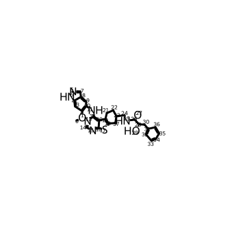 COc1cc2[nH]ncc2cc1Nc1ncnc2sc3c(c12)CCC(CNC(=O)[C@H](O)Cc1ccccc1)C3